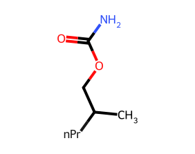 CCCC(C)COC(N)=O